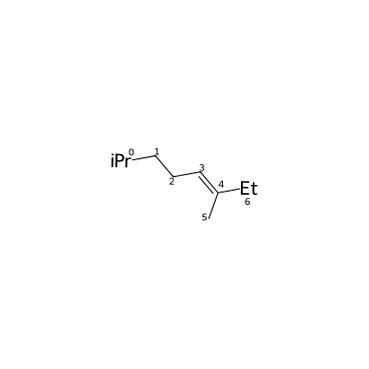 [CH2]C(C)CCC=C(C)CC